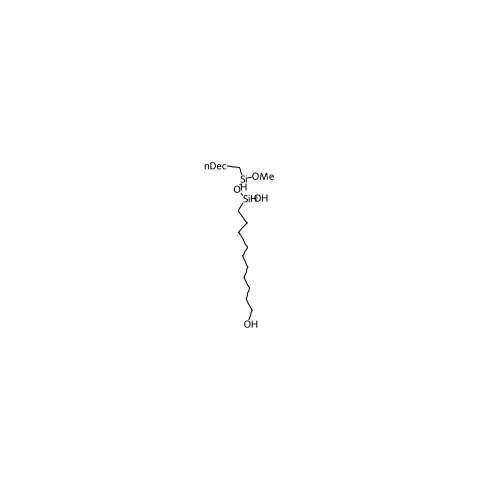 CCCCCCCCCCC[SiH](OC)O[SiH](O)CCCCCCCCCCO